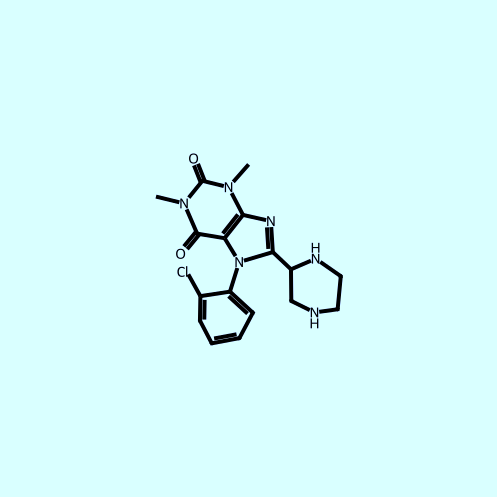 Cn1c(=O)c2c(nc(C3CNCCN3)n2-c2ccccc2Cl)n(C)c1=O